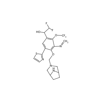 C=Nc1c(OCN2CC3CCC(C2)N3)c(-c2nccs2)cc(C(O)C(F)F)c1OC(F)(F)F